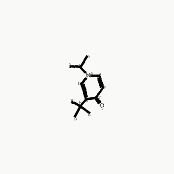 CC(C)n1ccc(=O)c(C(C)(C)C)c1